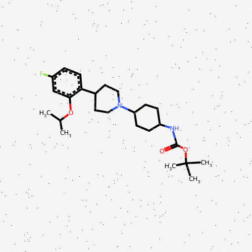 CC(C)Oc1cc(F)ccc1C1CCN(C2CCC(NC(=O)OC(C)(C)C)CC2)CC1